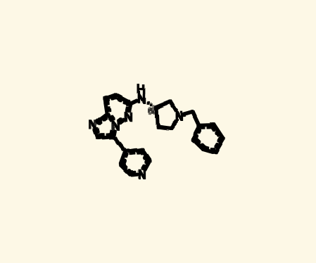 c1ccc(CN2CC[C@H](Nc3ccc4ncc(-c5ccncc5)n4n3)C2)cc1